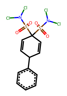 O=S(=O)(N(Cl)Cl)C1(S(=O)(=O)N(Cl)Cl)C=CC(c2ccccc2)C=C1